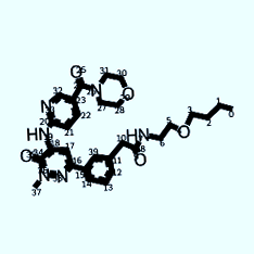 CCCCOCCNC(=O)Cc1cccc(-c2cc(Nc3ccc(C(=O)N4CCOCC4)cn3)c(=O)n(C)n2)c1